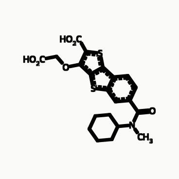 CN(C(=O)c1ccc2c(c1)sc1c(OCC(=O)O)c(C(=O)O)sc12)C1CCCCC1